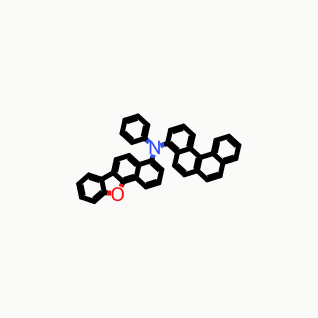 c1ccc(N(c2cccc3c2ccc2c4ccccc4oc32)c2cccc3c2ccc2ccc4ccccc4c23)cc1